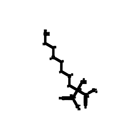 O=[N+]([O-])C(O)(COCCOCCO)[N+](=O)[O-]